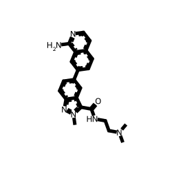 CN(C)CCNC(=O)c1c2cc(-c3ccc4ccnc(N)c4c3)ccc2nn1C